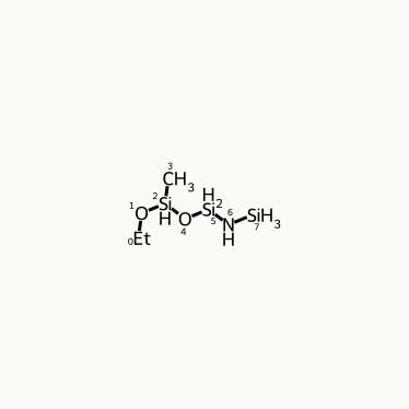 CCO[SiH](C)O[SiH2]N[SiH3]